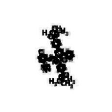 CC(C)(C)OC(=O)c1ccc(NC(=O)C2C(c3ccccc3)CC(C3CCN(C(=O)OC(C)(C)C)CC3)CN2C(=O)C=Cc2cc(Cl)ccc2-n2cnnn2)cc1